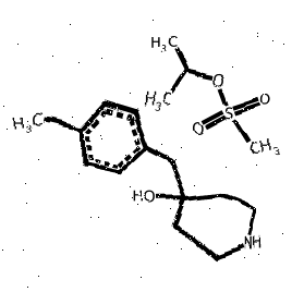 CC(C)OS(C)(=O)=O.Cc1ccc(CC2(O)CCNCC2)cc1